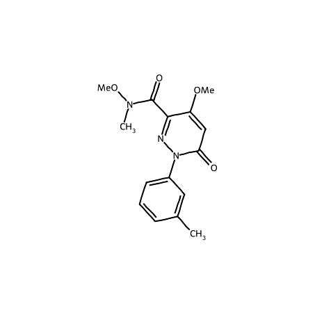 COc1cc(=O)n(-c2cccc(C)c2)nc1C(=O)N(C)OC